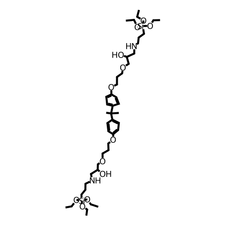 CCO[Si](CCCNCC(O)COCCCOc1ccc(C(C)(C)c2ccc(OCCCOCC(O)CNCCC[Si](OCC)(OCC)OCC)cc2)cc1)(OCC)OCC